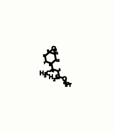 CC(C)O[SiH2]CC(C)C1CCC2OC2C1